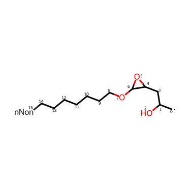 [CH2]C(O)CC1OC1OCCCCCCCCCCCCCCCC